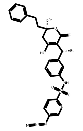 CCC[C@@]1(CCc2ccccc2)CC(O)=C([C@H](CC)c2cccc(NS(=O)(=O)c3ccc(N=[N+]=[N-])cn3)c2)C(=O)O1